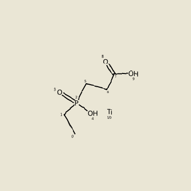 CCP(=O)(O)CCC(=O)O.[Ti]